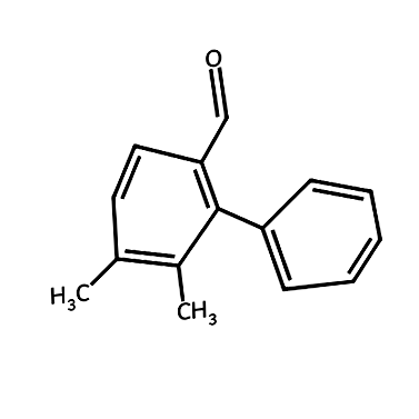 Cc1ccc(C=O)c(-c2ccccc2)c1C